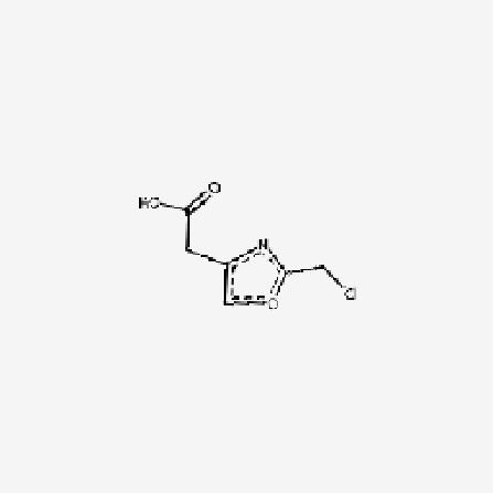 O=C(O)Cc1coc(CCl)n1